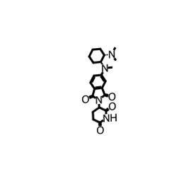 CN(C)[C@H]1CCCC[C@@H]1N(C)c1ccc2c(c1)C(=O)N(C1CCC(=O)NC1=O)C2=O